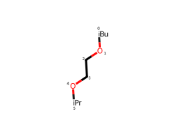 CCC(C)OCCOC(C)C